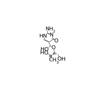 C[C@@H](O)[C@@H](CO)OC(O)c1c[nH]c(N)nc1=O